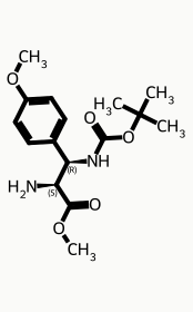 COC(=O)[C@@H](N)[C@H](NC(=O)OC(C)(C)C)c1ccc(OC)cc1